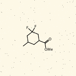 COC(=O)C1CC(C)CC(F)(F)C1